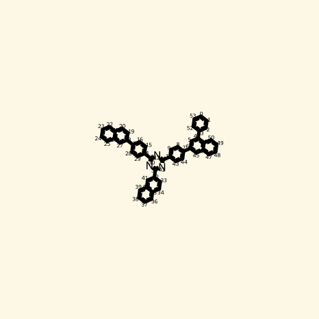 c1ccc(-c2cc(-c3ccc(-c4nc(-c5ccc(-c6ccc7ccccc7c6)cc5)nc(-c5ccc6ccccc6c5)n4)cc3)cc3ccccc23)cc1